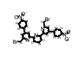 O=[N+]([O-])c1ccc(-c2cc(CBr)nc(-c3cccc(-c4cc(-c5ccc([N+](=O)[O-])cc5)cc(CBr)n4)n3)c2)cc1